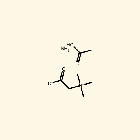 CC(=O)O.C[N+](C)(C)CC(=O)[O-].N